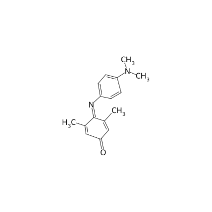 CC1=CC(=O)C=C(C)C1=Nc1ccc(N(C)C)cc1